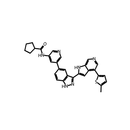 Cc1ccc(-c2cncc3[nH]c(-c4n[nH]c5ccc(-c6cncc(NC(=O)C7CCCC7)c6)cc45)cc23)s1